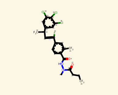 CN(NC(=O)c1ccc(/C(F)=C/C(c2cc(Cl)c(Cl)c(Cl)c2)C(F)(F)F)cc1C(F)(F)F)C(=O)CCC(F)(F)F